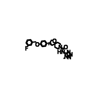 Cn1nnnc1NC(=O)N1CCC2(CC1)C[C@@H](c1ccc(OCc3cccc(F)c3)cc1)CO2